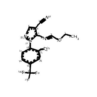 CCOC=Nc1c(C#N)cnn1-c1ccc(C(F)(F)F)cc1Cl